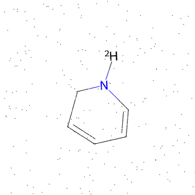 [2H]N1C=CC=CC1